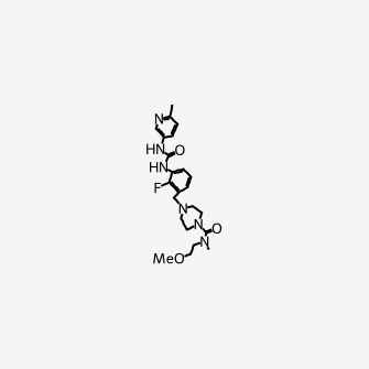 COCCN(C)C(=O)N1CCN(Cc2cccc(NC(=O)Nc3ccc(C)nc3)c2F)CC1